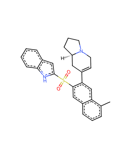 Cc1cccc2cc(S(=O)(=O)c3cc4ccccc4[nH]3)c(C3=CCN4CCC[C@@H]4C3)cc12